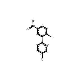 O=[N+]([O-])c1ccc(F)c(-c2ccc(F)cn2)c1